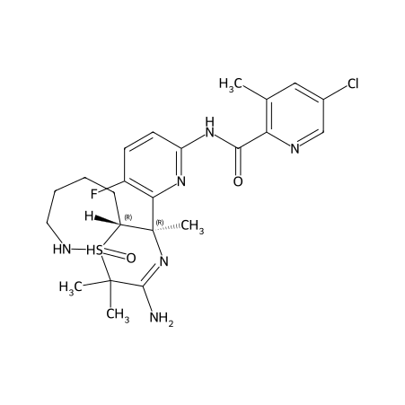 Cc1cc(Cl)cnc1C(=O)Nc1ccc(F)c([C@@]2(C)N=C(N)C(C)(C)[SH]3(=O)NCCCC[C@H]23)n1